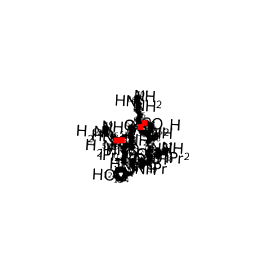 CC(C)C[C@H](NC(=O)[C@H](Cc1ccc(O)cc1)NC(=O)[C@@H](NC(=O)[C@H](Cc1c[nH]c2ccccc12)NC(=O)[C@@H](N)C(C)C)C(C)C)C(=O)N[C@@H](CCCNC(=N)N)C(=O)N[C@@H](CCCCN)C(=O)N[C@@H](CCCNC(=N)N)C(=O)O